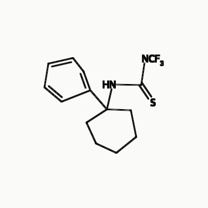 FC(F)(F)NC(=S)NC1(c2ccccc2)CCCCC1